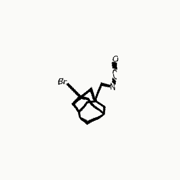 O=C=NCC12CC3CC(CC(Br)(C3)C1)C2